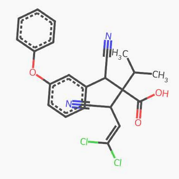 CC(C)C(C(=O)O)(C(C#N)C=C(Cl)Cl)C(C#N)c1cccc(Oc2ccccc2)c1